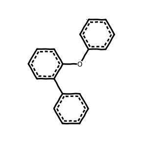 [c]1cccc(Oc2ccccc2-c2ccccc2)c1